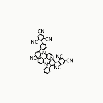 N#Cc1cc(C#N)c(-c2ccc3c(c2)c2ccccc2n3-c2ccncc2-c2cc(C#N)ccc2-n2c3ccccc3c3cc(-c4c(C#N)cc(C#N)cc4C#N)ccc32)c(C#N)c1